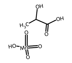 CC(O)C(=O)O.[O]=[Mn](=[O])(=[O])[OH]